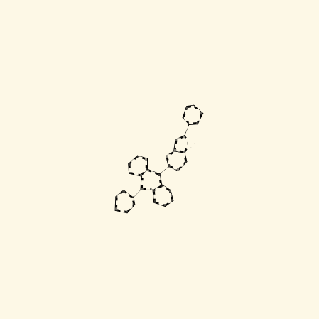 c1ccc(-c2cc3cc(-c4c5ccccc5c(-c5ccccc5)c5ccccc45)ccc3o2)cc1